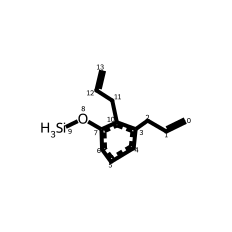 C=CCc1cccc(O[SiH3])c1CC=C